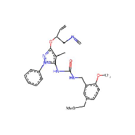 C=CC(CN=C)Oc1nn(-c2ccccc2)c(NC(=O)NCc2cc(COC)ccc2OC(F)(F)F)c1C